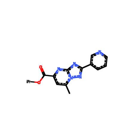 Cc1cc(C(=O)OC(C)C)nc2nc(-c3cccnc3)nn12